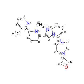 Cc1cccnc1[C@@H]1CCCC(c2cn3c(N4CCN(C5COC5)CC4)cccc3n2)N1C